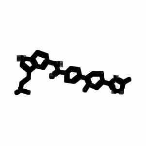 Cc1nc(-c2ccc(-c3ccc(C(=O)Nc4ccc5[nH]cc(CCN(C)C)c5c4)cc3)c(C)c2)no1